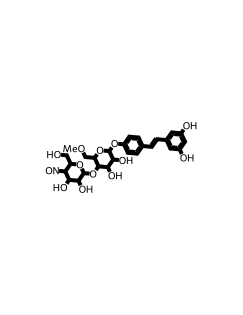 COCC1OC(Oc2ccc(/C=C/c3cc(O)cc(O)c3)cc2)C(O)C(O)C1OC1OC(CO)C(N=O)C(O)C1O